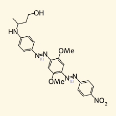 COc1cc(/N=N/c2ccc([N+](=O)[O-])cc2)c(OC)cc1/N=N/c1ccc(NC(C)CCO)cc1